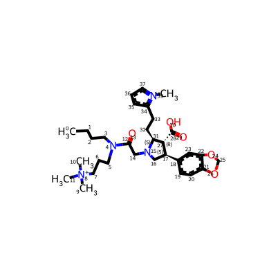 CCCCN(CCC[N+](C)(C)C)C(=O)CN1C[C@H](c2ccc3c(c2)OCO3)[C@@H](C(=O)O)[C@@H]1CCc1cccn1C